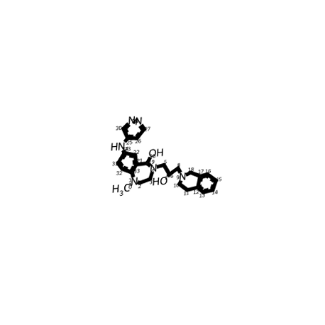 CN1CCN(CC(O)CN2CCc3ccccc3C2)C(O)c2cc(Nc3ccnnc3)ccc21